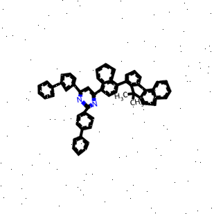 CC1(C)c2ccc3ccccc3c2-c2cccc(-c3ccc(-c4cc(-c5cccc(-c6ccccc6)c5)nc(-c5ccc(-c6ccccc6)cc5)n4)c4ccccc34)c21